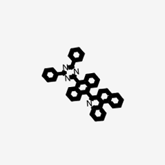 c1ccc(-c2nc(-c3ccccc3)nc(-c3c4ccccc4c(-c4nc5ccccc5c5c4ccc4ccccc45)c4ccccc34)n2)cc1